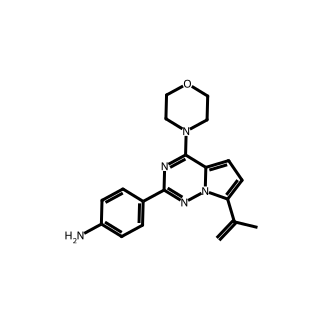 C=C(C)c1ccc2c(N3CCOCC3)nc(-c3ccc(N)cc3)nn12